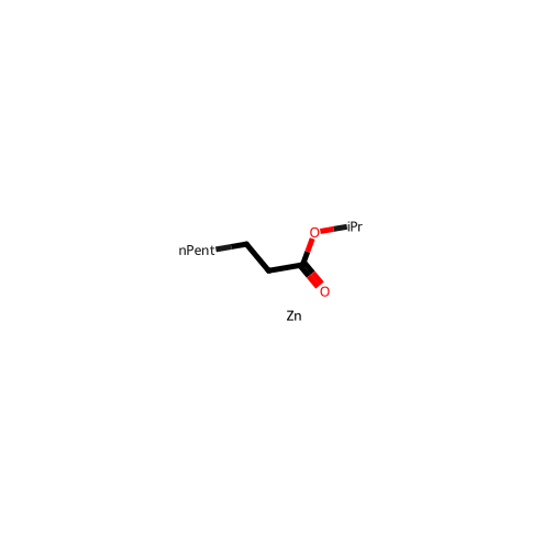 CCCCCCCC(=O)OC(C)C.[Zn]